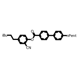 CCCCCc1ccc(-c2ccc(C(=O)Oc3ccc(CCC(C)CC)cc3C#N)cc2)cc1